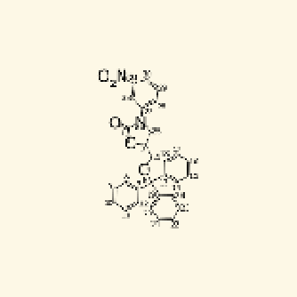 O=C1OC(COC(c2ccccc2)(c2ccccc2)c2ccccc2)CN1c1cccc([N+](=O)[O-])c1